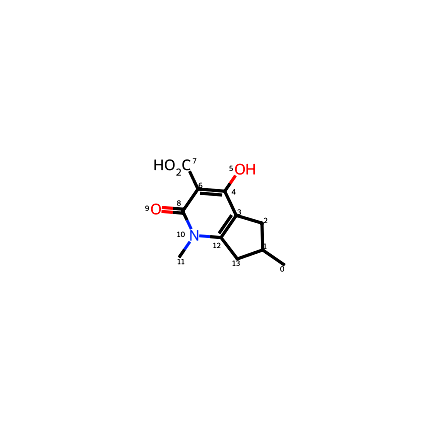 CC1Cc2c(O)c(C(=O)O)c(=O)n(C)c2C1